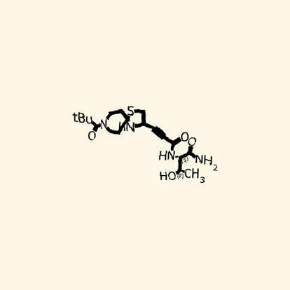 C[C@@H](O)[C@H](NC(=O)C#CC1CSC2(CCN(C(=O)C(C)(C)C)CC2)N1)C(N)=O